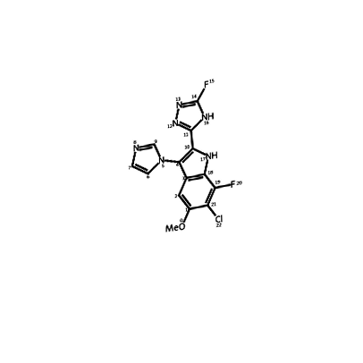 COc1cc2c(-n3ccnc3)c(-c3nnc(F)[nH]3)[nH]c2c(F)c1Cl